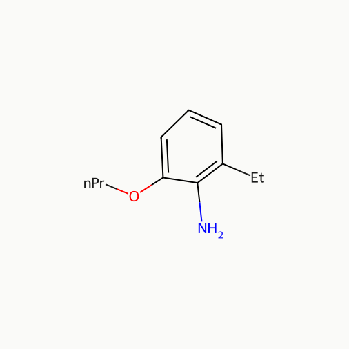 CCCOc1cccc(CC)c1N